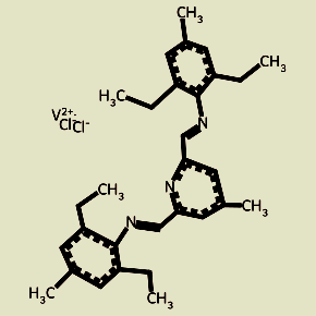 CCc1cc(C)cc(CC)c1N=Cc1cc(C)cc(C=Nc2c(CC)cc(C)cc2CC)n1.[Cl-].[Cl-].[V+2]